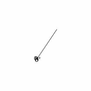 CCCCCCCCCCCCCCCCCCCCCCCCCCCCCCCCCCCCCC[N+](=O)[O-]